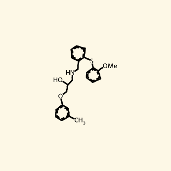 COc1ccccc1Sc1ccccc1CNCC(O)COc1cccc(C)c1